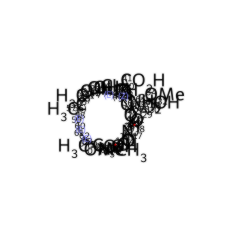 CO[C@H]1C[C@@H]2CC[C@@H](C)[C@@](O)(O2)C(=O)C(=O)N2CCCC[C@H]2C(=O)O[C@H]([C@H](N)C[C@@H]2CC[C@@H](O)[C@H](OC)C2)C/C(=N/OCC(=O)O)[C@H](C)/C=C(\C)[C@@H](O)[C@@H](O)C(=O)[C@H](C)C[C@H](C)/C=C/C=C/C=C/1C